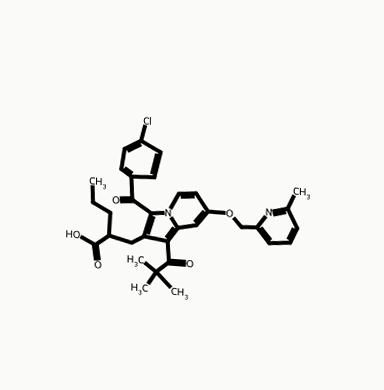 CCCC(Cc1c(C(=O)C(C)(C)C)c2cc(OCc3cccc(C)n3)ccn2c1C(=O)c1ccc(Cl)cc1)C(=O)O